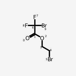 O=C(OCCBr)C(F)(F)Br